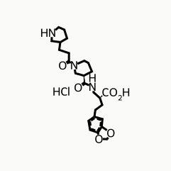 Cl.O=C(O)[C@H](CCc1ccc2c(c1)OCO2)CNC(=O)[C@@H]1CCCN(C(=O)CCC2CCCNC2)C1